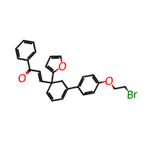 O=C(C=CC1(c2ccco2)C=CC=C(c2ccc(OCCBr)cc2)C1)c1ccccc1